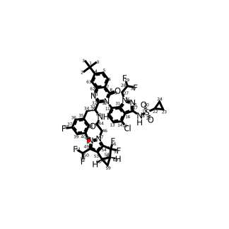 CC(C)(C)c1ccc2c(=O)n(-c3ccc(Cl)c4c(NS(=O)(=O)C5CC5)nn(CC(F)F)c34)c([C@H](Cc3cc(F)cc(F)c3)NC(=O)Cn3nc(C(F)F)c4c3C(F)(F)[C@@H]3C[C@H]43)nc2c1